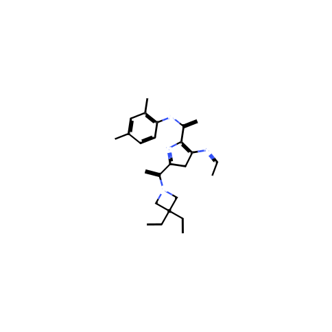 C=C(Nc1ccc(C)cc1C)C1=C(/N=C\C)CC(C(=C)N2CC(CC)(CC)C2)=N1